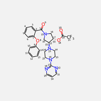 O=C(c1ccccc1Oc1ccccc1)N1C[C@H](OC(=O)C(F)(F)F)[C@@H](N2CCN(c3ncccn3)CC2)C1